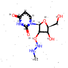 CCNNOC1C(O)[C@H](CO)O[C@@H]1n1ccc(=O)[nH]c1=O